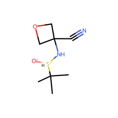 CC(C)(C)[S@+]([O-])NC1(C#N)COC1